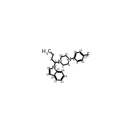 CCCC(N1CCN(c2ccc(F)cc2)CC1)n1ccc2ccccc21